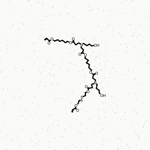 C=CC(=O)OCCCCCCOC(=O)CCN(CCCCO)CCC(=O)OCCCCCCOC(=O)CCN(CCCCO)CCC(=O)OCCSSCCOC(=O)C=C